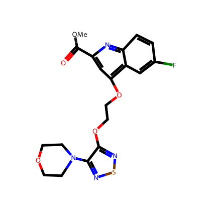 COC(=O)c1cc(OCCOc2nsnc2N2CCOCC2)c2cc(F)ccc2n1